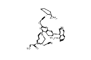 C=CC(=O)N1CCN(c2nc(OC#C[C@@H]3CCCN3C)nc3c2CCN(c2cncc4cccc(C)c24)C3)C[C@@H]1CC#N